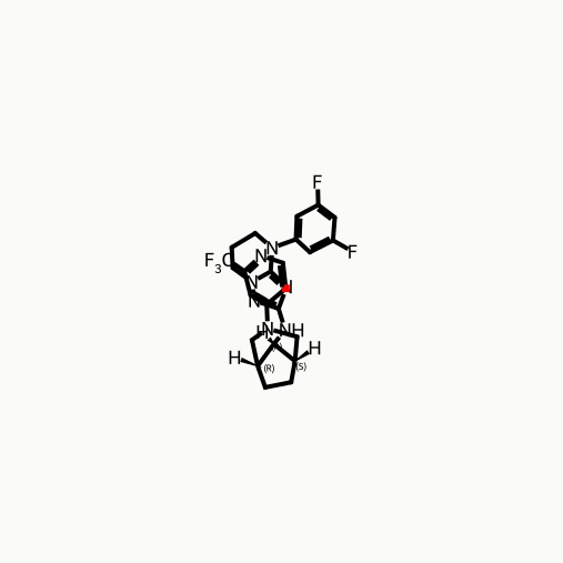 Fc1cc(F)cc(N2CCCn3nc(N[C@H]4[C@@H]5CC[C@H]4CN(c4ccnc(C(F)(F)F)c4)C5)nc32)c1